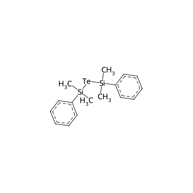 C[Si](C)([Te][Si](C)(C)c1ccccc1)c1ccccc1